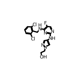 OCCn1cc(Nc2ncc(F)c(NCc3c(Cl)cccc3Cl)n2)cn1